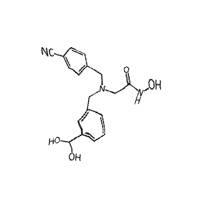 N#Cc1ccc(CN(CC(=O)NO)Cc2cccc(C(O)O)c2)cc1